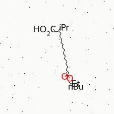 CCCCC(CC)COC(=O)CCCCCCCCCCCCCCCC(CC(=O)O)C(C)C